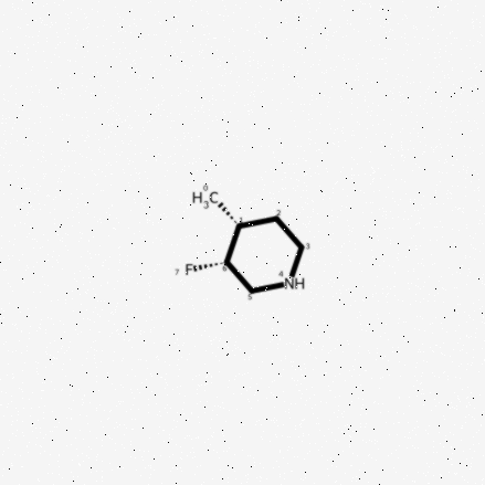 C[C@@H]1CCNC[C@@H]1F